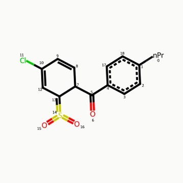 CCCc1ccc(C(=O)C2C=CC(Cl)=CC2=S(=O)=O)cc1